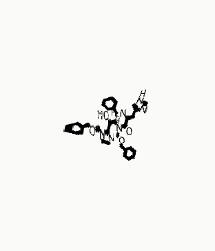 N[C@@H](Cc1c[nH]cn1)C(=O)N(COCc1ccccc1)[C@@H](CC1CCCCC1)[C@@H](O)c1nccn1COCc1ccccc1